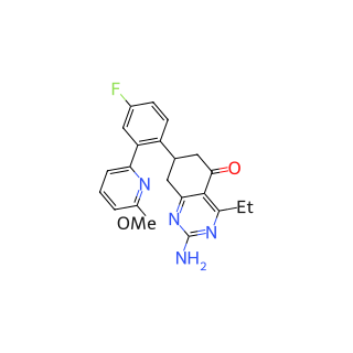 CCc1nc(N)nc2c1C(=O)CC(c1ccc(F)cc1-c1cccc(OC)n1)C2